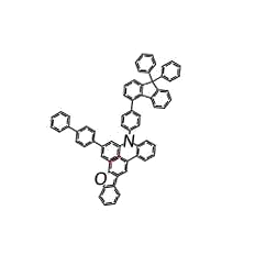 c1ccc(-c2ccc(-c3cccc(N(c4ccc(-c5cccc6c5-c5ccccc5C6(c5ccccc5)c5ccccc5)cc4)c4ccccc4-c4ccc5oc6ccccc6c5c4)c3)cc2)cc1